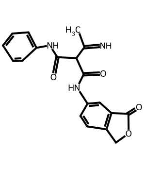 CC(=N)C(C(=O)Nc1ccccc1)C(=O)Nc1ccc2c(c1)C(=O)OC2